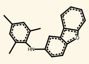 Cc1cc(C)c(Nc2ccc3oc4ccccc4c3c2)c(C)c1